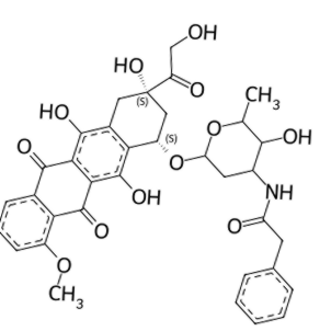 COc1cccc2c1C(=O)c1c(O)c3c(c(O)c1C2=O)C[C@@](O)(C(=O)CO)C[C@@H]3OC1CC(NC(=O)Cc2ccccc2)C(O)C(C)O1